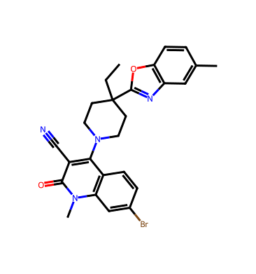 CCC1(c2nc3cc(C)ccc3o2)CCN(c2c(C#N)c(=O)n(C)c3cc(Br)ccc23)CC1